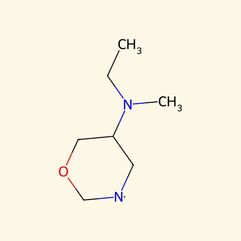 CCN(C)C1C[N]COC1